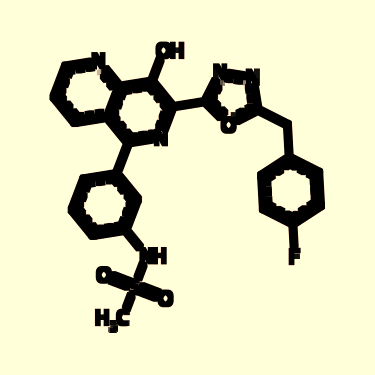 CS(=O)(=O)Nc1cccc(-c2nc(-c3nnc(Cc4ccc(F)cc4)o3)c(O)c3ncccc23)c1